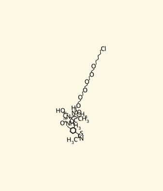 Cc1ncsc1-c1ccc(CNC(=O)[C@@H]2C[C@@H](O)CN2C(=O)[C@@H](NC(=O)COCCOCCOCCOCCOCCOCCCCCCCl)C(C)(C)C)cc1